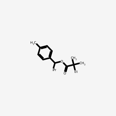 CCC(C)(C)C(=O)OC(c1ccc(C)cc1)C(C)C